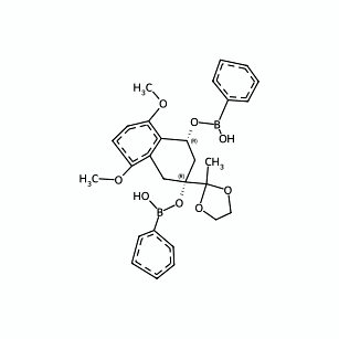 COc1ccc(OC)c2c1C[C@](OB(O)c1ccccc1)(C1(C)OCCO1)C[C@H]2OB(O)c1ccccc1